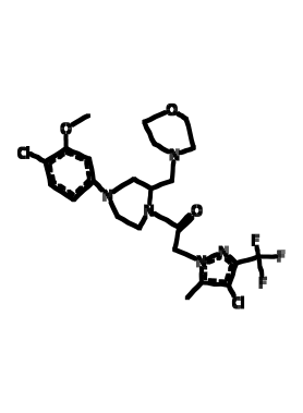 COc1cc(N2CCN(C(=O)Cn3nc(C(F)(F)F)c(Cl)c3C)C(CN3CCOCC3)C2)ccc1Cl